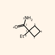 CCC1(C(N)=O)CCC1